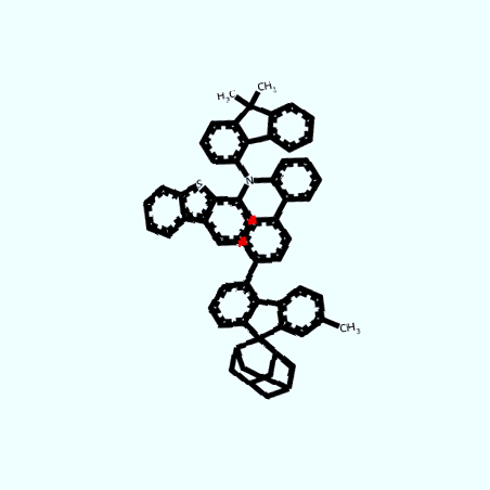 Cc1ccc2c(c1)C1(c3cccc(-c4ccc(-c5ccccc5N(c5cccc6c5-c5ccccc5C6(C)C)c5cccc6c5sc5ccccc56)cc4)c3-2)C2CC3CC(C2)CC1C3